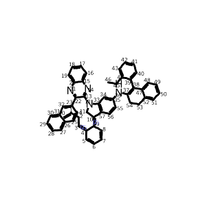 C=CC/C=c1/cccc/c1=C1/CN(c2nc3ccccc3nc2-c2ccc3ccccc3c2)c2cc(NC3=C(c4ccccc4CC)c4ccccc4CC3)ccc21